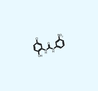 O=C(Nc1cccc([N+](=O)[O-])c1)Nc1cc(Cl)ccc1O